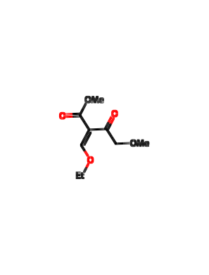 CCO/C=C(\C(=O)COC)C(=O)OC